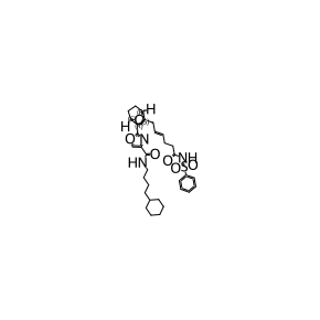 O=C(CCC=CC[C@H]1[C@@H](c2nc(C(=O)NCCCCC3CCCCC3)co2)[C@@H]2CC[C@H]1O2)NS(=O)(=O)c1ccccc1